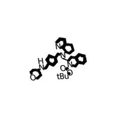 CC(C)(C)OC(=O)N1Cc2ccccc2C[C@@H]1CN(Cc1ccc(CNC2CCOCC2)cc1)[C@H]1CCCc2cccnc21